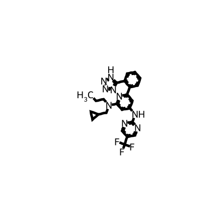 CCCN(CC1CC1)c1cc(Nc2ncc(C(F)(F)F)cn2)cc(-c2ccccc2-c2nnn[nH]2)n1